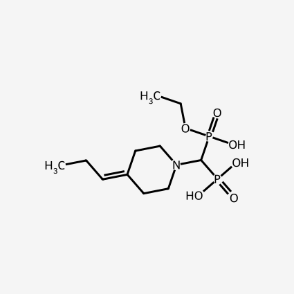 CCC=C1CCN(C(P(=O)(O)O)P(=O)(O)OCC)CC1